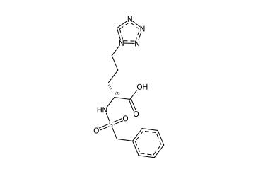 O=C(O)[C@@H](CCCn1cnnn1)NS(=O)(=O)Cc1ccccc1